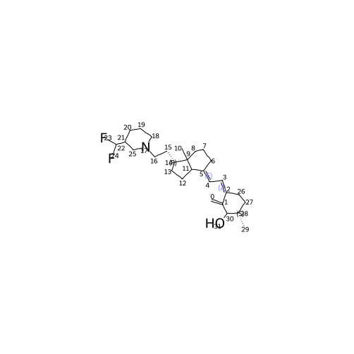 C=C1/C(=C\C=C2/CCCC3(C)C2CC[C@@H]3CCN2CCCC(C(F)F)C2)CC[C@H](C)C1O